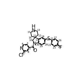 O=C(c1ccnc(Cl)c1)N1CC2(CCNCC2)c2cc(Sc3ccc(F)cc3)ccc21